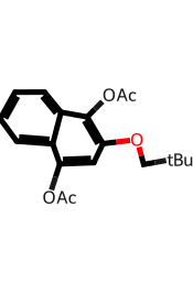 CC(=O)Oc1cc(OCC(C)(C)C)c(OC(C)=O)c2ccccc12